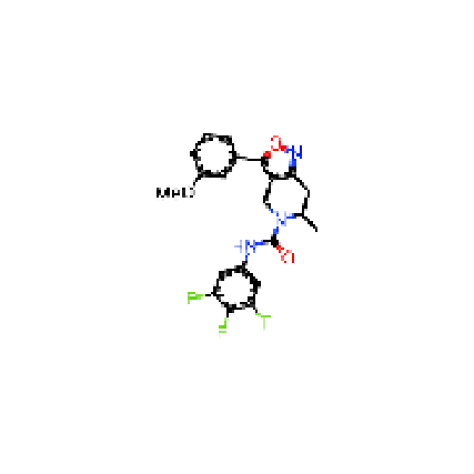 COc1cccc(-c2onc3c2CN(C(=O)Nc2cc(F)c(F)c(F)c2)C(C)C3)c1